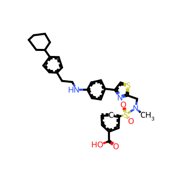 CN(Cc1nc(-c2ccc(NCCc3ccc(C4CCCCC4)cc3)cc2)cs1)S(=O)(=O)c1cccc(C(=O)O)c1